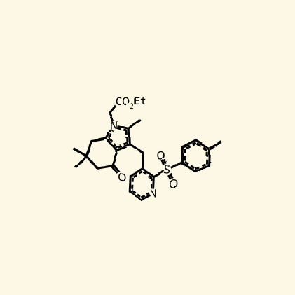 CCOC(=O)Cn1c(C)c(Cc2cccnc2S(=O)(=O)c2ccc(C)cc2)c2c1CC(C)(C)CC2=O